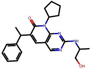 CC(CO)Nc1ncc2cc(C(C)c3ccccc3)c(=O)n(C3CCCC3)c2n1